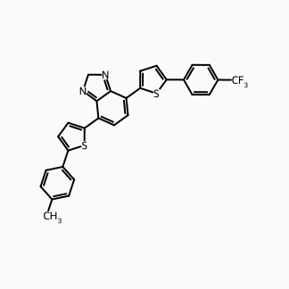 Cc1ccc(-c2ccc(-c3ccc(-c4ccc(-c5ccc(C(F)(F)F)cc5)s4)c4c3=NCN=4)s2)cc1